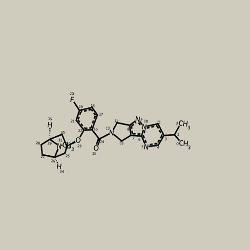 CC(C)c1cnc2c3c(nn2c1)CN(C(=O)c1ccc(F)cc1O[C@H]1C[C@H]2CC[C@@H](C1)N2C)C3